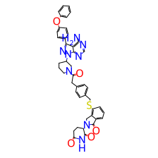 Nc1ncnc2c1c(-c1ccc(Oc3ccccc3)cc1)nn2C1CCCN(C(=O)Cc2ccc(CSc3cccc4c3CN(C3CCC(=O)NC3=O)C4=O)cc2)C1